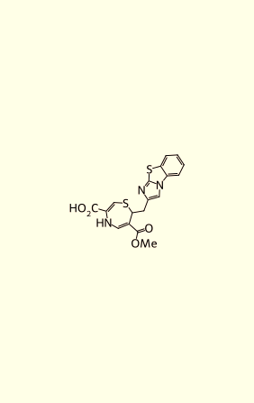 COC(=O)C1=CNC(C(=O)O)=CSC1Cc1cn2c(n1)sc1ccccc12